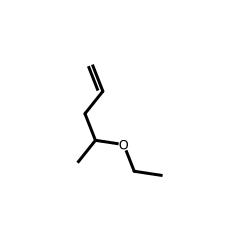 C=CCC(C)OCC